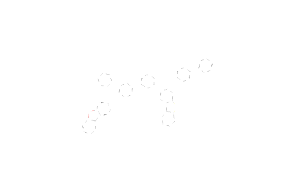 c1ccc(-c2ccc(C(Cc3ccc(-c4ccc5c(c4)-c4ccccc4C5c4ccc5c(c4)oc4ccccc45)cc3)c3ccc4c(c3)sc3ccccc34)cc2)cc1